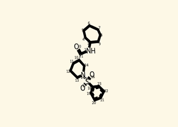 O=C(NC1CCCCCC1)[C@H]1CCCN(S(=O)(=O)c2ccccc2)C1